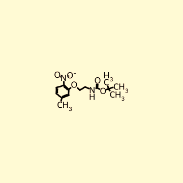 Cc1ccc([N+](=O)[O-])c(OCCNC(=O)OC(C)(C)C)c1